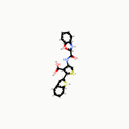 O=C(Nc1csc(-c2cc3ccccc3s2)c1C(=O)O)c1nc2ccccc2o1